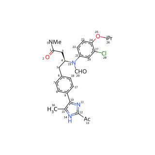 CNC(=O)C[C@H](Cc1ccc(-c2nc(C(C)=O)[nH]c2C)cc1)N(C=O)c1ccc(OC(C)C)c(Cl)c1